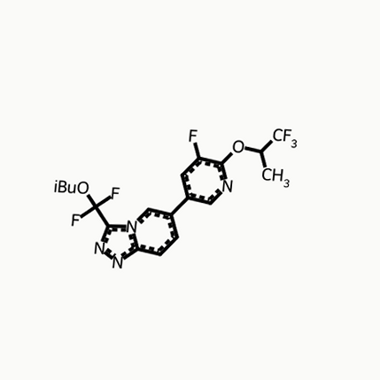 CC(C)COC(F)(F)c1nnc2ccc(-c3cnc(OC(C)C(F)(F)F)c(F)c3)cn12